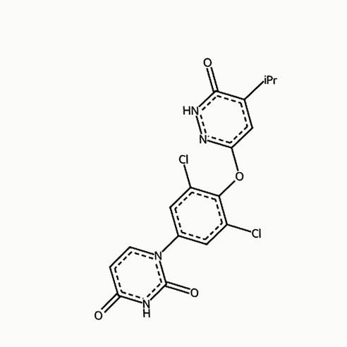 CC(C)c1cc(Oc2c(Cl)cc(-n3ccc(=O)[nH]c3=O)cc2Cl)n[nH]c1=O